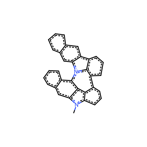 Cn1c2cccc3c4cccc5c6cc7ccccc7cc6n(c45)c4c5ccccc5cc1c4c32